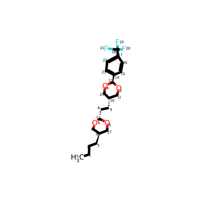 CCCC[C@H]1CO[C@H](CC[C@H]2CO[C@H](c3ccc(C(F)(F)F)cc3)OC2)OC1